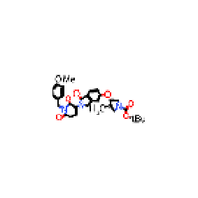 COc1ccc(CN2C(=O)CCC(N3Cc4cc(O[C@@H]5CN(C(=O)OC(C)(C)C)C[C@H]5C)ccc4C3=O)C2=O)cc1